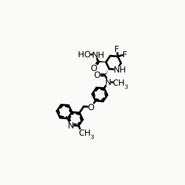 Cc1cc(COc2ccc(N(C)C(=O)[C@H]3NCC(F)(F)C[C@@H]3C(=O)NO)cc2)c2ccccc2n1